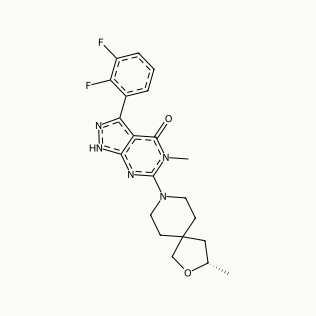 C[C@H]1CC2(CCN(c3nc4[nH]nc(-c5cccc(F)c5F)c4c(=O)n3C)CC2)CO1